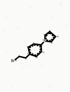 BrCCc1ccc(-n2cccc2)cc1